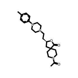 CC(=O)N1CCC2(CC1)C[C@@H](CCN1CCN(c3ccc(C)cc3)CC1)OC2=O